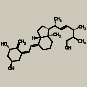 C=C1/C(=C\C=C2/CCC[C@]3(C)[C@@H]([C@H](C)/C=C/[C@H](C)C(C)CO)CC[C@@H]23)C[C@@H](O)C[C@@H]1O